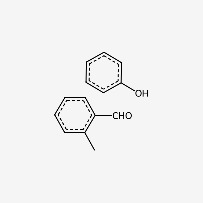 Cc1ccccc1C=O.Oc1ccccc1